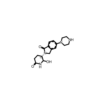 O=C1CC[C@H](N2Cc3cc(N4CCNCC4)ccc3C2=O)C(O)N1